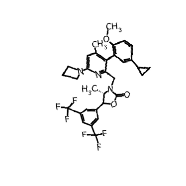 COc1ccc(C2CC2)cc1-c1c(C)cc(N2CCC2)nc1CN1C(=O)OC(c2cc(C(F)(F)F)cc(C(F)(F)F)c2)[C@@H]1C